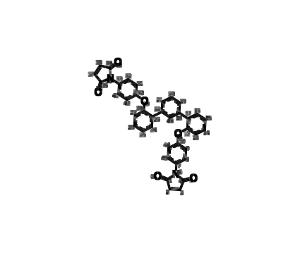 O=C1C=CC(=O)N1c1ccc(Oc2ccccc2-c2cccc(-c3ccccc3Oc3ccc(N4C(=O)C=CC4=O)cc3)c2)cc1